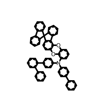 c1ccc(-c2ccc(N(c3ccc(-c4ccccc4-c4ccccc4)cc3)c3cccc4c3Oc3ccc5c(c3O4)-c3ccccc3C53c4ccccc4-c4ccccc43)cc2)cc1